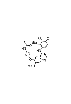 COc1cc2ncnc(Nc3ccc(Cl)c(Cl)c3F)c2cc1OC1CC(NC(=O)OC(C)(C)C)C1